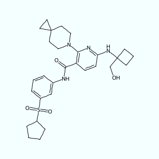 O=C(Nc1cccc(S(=O)(=O)C2CCCC2)c1)c1ccc(NC2(CO)CCC2)nc1N1CCC2(CC1)CC2